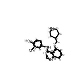 Oc1ccc(Nc2ncnc3cccc(OCC4CCNCC4)c23)cc1Cl